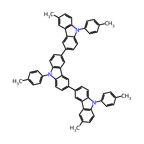 Cc1ccc(-n2c3ccc(C)cc3c3cc(-c4ccc5c(c4)c4cc(-c6ccc7c(c6)c6cc(C)ccc6n7-c6ccc(C)cc6)ccc4n5-c4ccc(C)cc4)ccc32)cc1